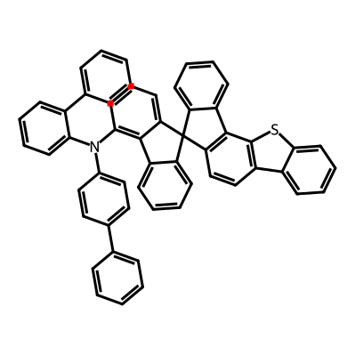 c1ccc(-c2ccc(N(c3ccccc3-c3ccccc3)c3cccc4c3-c3ccccc3C43c4ccccc4-c4c3ccc3c4sc4ccccc43)cc2)cc1